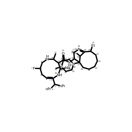 CCCC(CCC)/C1=C/CC(F)CNC(C)C(C(=O)NC2CN=C3C(CC)CCCCCC2(N2CCN(C)CC2)C3C#N)C(N)N1